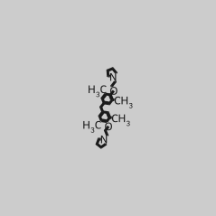 Cc1cc(Cc2cc(C)c(OCCN3CCCC3)c(C)c2)cc(C)c1OCCN1CCCC1